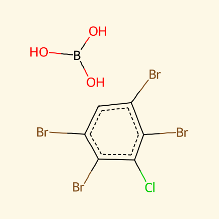 Clc1c(Br)c(Br)cc(Br)c1Br.OB(O)O